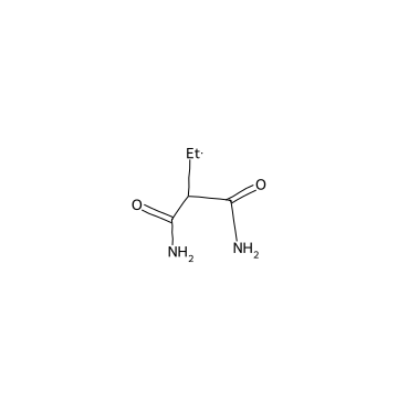 C[CH]C(C(N)=O)C(N)=O